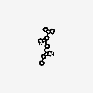 c1ccc(-c2ccc3c(c2)-c2cnccc2C3Cc2cccc(-n3c4ccc(C5c6ccccc6-c6ccccc65)cc4c4cccnc43)c2)cc1